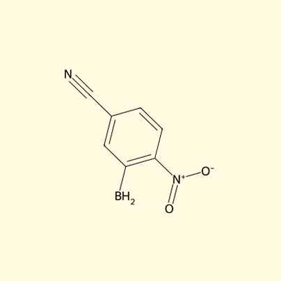 Bc1cc(C#N)ccc1[N+](=O)[O-]